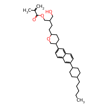 C=C(C)C(=O)OCC(CO)CCC1CCC(c2ccc3cc(C4CCC(CCCCC)CC4)ccc3c2)CO1